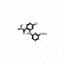 COc1cccc(Nc2cc(Cl)ccc2C(=O)N(C)C)c1